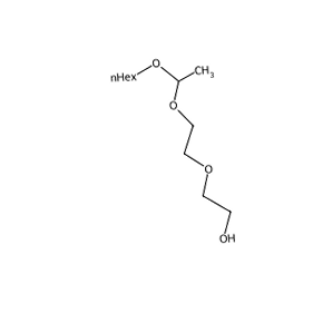 CCCCCCOC(C)OCCOCCO